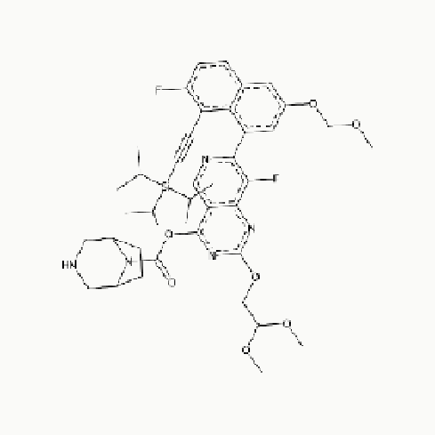 COCOc1cc(-c2ncc3c(OC(=O)N4C5CCC4CNC5)nc(OCC(OC)OC)nc3c2F)c2c(C#C[Si](C(C)C)(C(C)C)C(C)C)c(F)ccc2c1